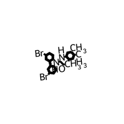 Cc1ccc(NC(C(C)O)n2c3ccc(Br)cc3c3cc(Br)ccc32)cc1C